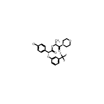 C[C@H](OC(=O)[C@H](Oc1cccc(C(F)(F)F)c1)c1ccc(Cl)cc1)C(=O)N1CCOCC1